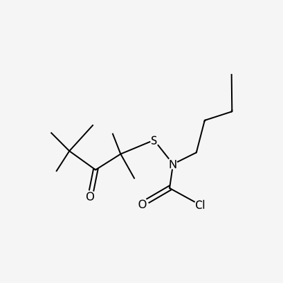 CCCCN(SC(C)(C)C(=O)C(C)(C)C)C(=O)Cl